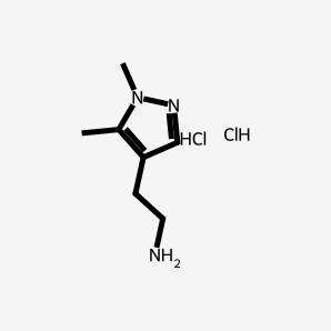 Cc1c(CCN)cnn1C.Cl.Cl